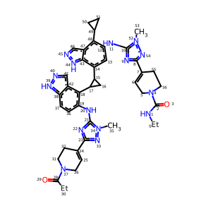 CCNC(=O)N1CC=C(c2nc(Nc3cc(C4CC4c4c(Nc5nc(C6=CCN(C(=O)CC)CC6)nn5C)ccc5[nH]ncc45)c4[nH]ncc4c3C3CC3)n(C)n2)CC1